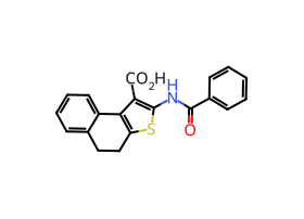 O=C(Nc1sc2c(c1C(=O)O)-c1ccccc1CC2)c1ccccc1